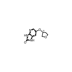 O=c1[nH]c2cc(O[C@H]3CCOC3)cnc2[nH]1